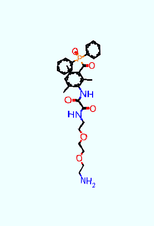 Cc1cc(C)c(C(=O)P(=O)(c2ccccc2)c2ccccc2)c(C)c1NC(=O)C(=O)NCCOCCOCCN